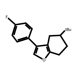 CC(C)(C)C1CCc2occ(-c3ccc(F)cc3)c2C1